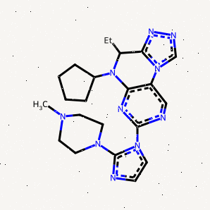 CCC1c2nncn2-c2cnc(-n3ccnc3N3CCN(C)CC3)nc2N1C1CCCC1